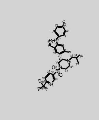 Cc1cc2c(cnn2-c2ccc(F)cc2)cc1[C@H]1CN(S(=O)(=O)c2ccc(C(F)(F)F)nc2)CCN1CC(C)C